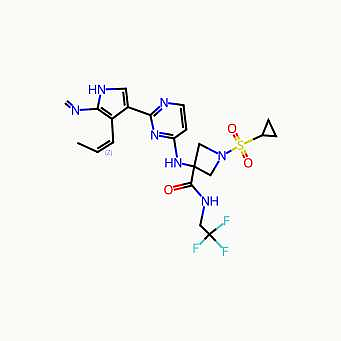 C=Nc1[nH]cc(-c2nccc(NC3(C(=O)NCC(F)(F)F)CN(S(=O)(=O)C4CC4)C3)n2)c1/C=C\C